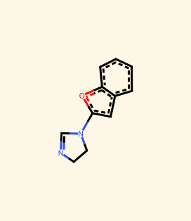 C1=NCCN1c1cc2ccccc2o1